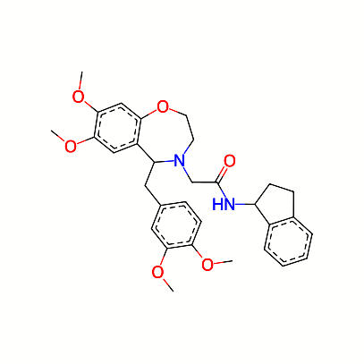 COc1ccc(CC2c3cc(OC)c(OC)cc3OCCN2CC(=O)NC2CCc3ccccc32)cc1OC